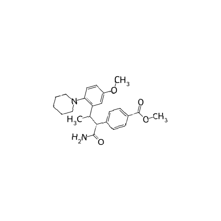 COC(=O)c1ccc(C(C(N)=O)C(C)c2cc(OC)ccc2N2CCCCC2)cc1